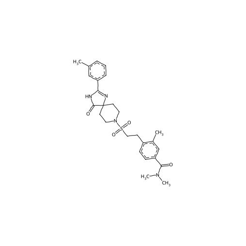 Cc1cccc(C2=NC3(CCN(S(=O)(=O)CCc4ccc(C(=O)N(C)C)cc4C)CC3)C(=O)N2)c1